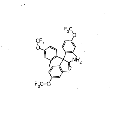 Cc1cc(OC(F)(F)F)ccc1C(C(N)=O)(c1ccc(OC(F)(F)F)cc1C)c1ccc(OC(F)(F)F)cc1C